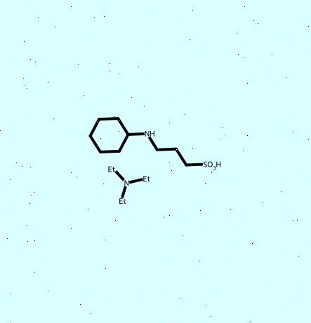 CCN(CC)CC.O=S(=O)(O)CCCNC1CCCCC1